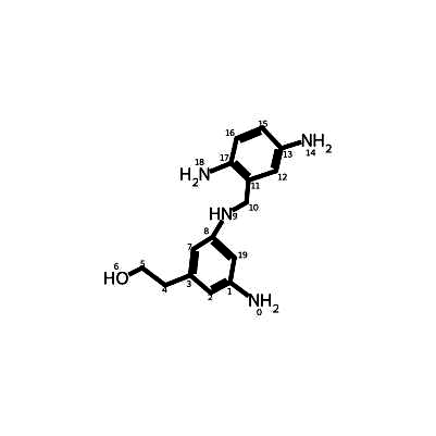 Nc1cc(CCO)cc(NCc2cc(N)ccc2N)c1